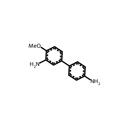 COc1ccc(-c2ccc(N)cc2)cc1N